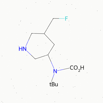 CC(C)(C)N(C(=O)O)C1CNCC(CF)C1